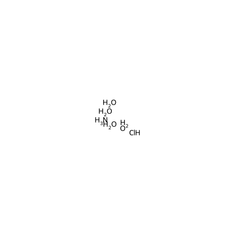 Cl.N.O.O.O.O